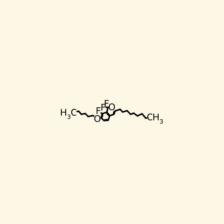 CCCCCCCCCC1=Cc2ccc(OCCCCCC)c(F)c2C(F)(F)O1